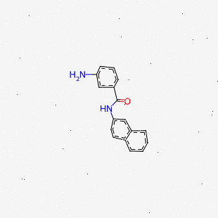 Nc1cccc(C(=O)Nc2ccc3ccccc3c2)c1